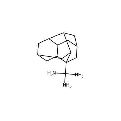 NC(N)(N)C12CC3CC4C5CC(CC41)CC2C5C3